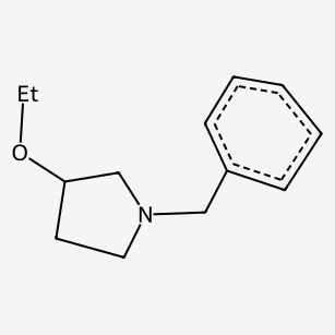 CCOC1CCN(Cc2ccccc2)C1